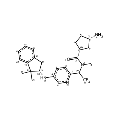 CN(C(=O)[C@@H]1CC[C@H](N)C1)C(c1ccc(N[C@H]2Cc3ccccc3C2(C)C)cn1)C(F)(F)F